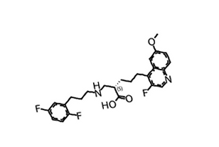 COc1ccc2ncc(F)c(CCC[C@@H](CNCCCc3cc(F)ccc3F)C(=O)O)c2c1